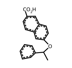 CC(Oc1ccc2cc(C(=O)O)ccc2c1)c1ccccc1